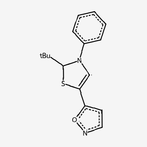 CC(C)(C)C1SC(c2ccno2)=[C]N1c1ccccc1